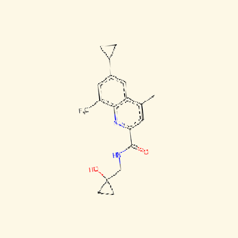 Cc1cc(C(=O)NCC2(O)CC2)nc2c(C(F)(F)F)cc(C3CC3)cc12